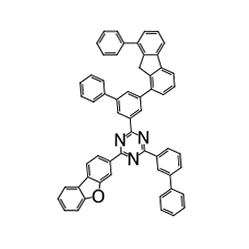 c1ccc(-c2cccc(-c3nc(-c4cc(-c5ccccc5)cc(-c5cccc6c5Cc5c(-c7ccccc7)cccc5-6)c4)nc(-c4ccc5c(c4)oc4ccccc45)n3)c2)cc1